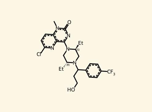 CC[C@H]1CN(C(CCO)c2ccc(C(F)(F)F)cc2)[C@H](CC)CN1c1nc(=O)n(C)c2ccc(Cl)nc12